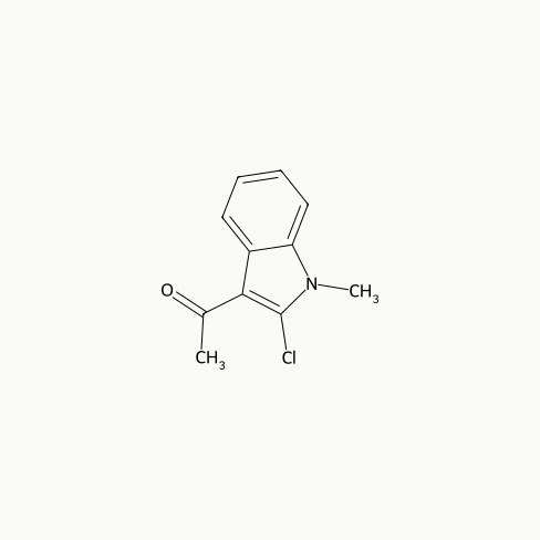 CC(=O)c1c(Cl)n(C)c2ccccc12